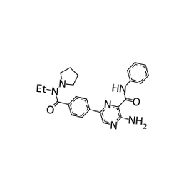 CCN(C(=O)c1ccc(-c2cnc(N)c(C(=O)Nc3ccccc3)n2)cc1)N1CCCC1